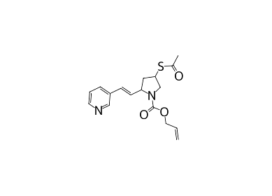 C=CCOC(=O)N1CC(SC(C)=O)CC1C=Cc1cccnc1